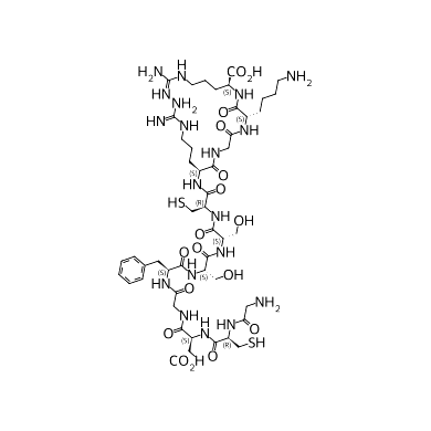 N=C(N)NCCC[C@H](NC(=O)[C@H](CCCCN)NC(=O)CNC(=O)[C@H](CCCNC(=N)N)NC(=O)[C@H](CS)NC(=O)[C@H](CO)NC(=O)[C@H](CO)NC(=O)[C@H](Cc1ccccc1)NC(=O)CNC(=O)[C@H](CC(=O)O)NC(=O)[C@H](CS)NC(=O)CN)C(=O)O